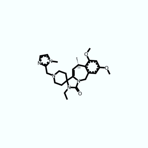 CCN1C(=O)N2Cc3cc(OC)cc(OC)c3[C@@H](C)C=C2C12CCN(Cc1nccn1C)CC2